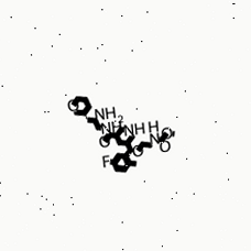 COC(=O)NCCO[C@@H](c1cc(F)ccc1C)C1CNCC(C(=O)NC[C@H](N)C[C@H]2CCCOC2)C1